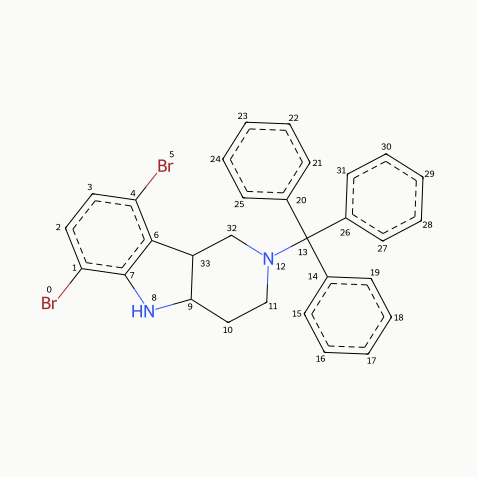 Brc1ccc(Br)c2c1NC1CCN(C(c3ccccc3)(c3ccccc3)c3ccccc3)CC21